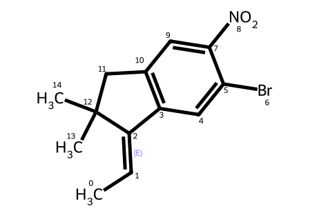 C/C=C1/c2cc(Br)c([N+](=O)[O-])cc2CC1(C)C